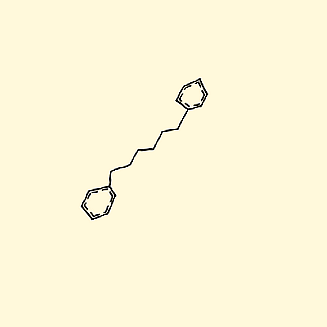 c1ccc(CCCCCCc2ccccc2)cc1